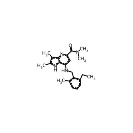 CCc1cccc(C)c1CNc1cc(C(=O)N(C)C)nc2c(C)c(C)[nH]c12